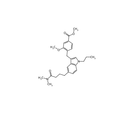 CCCn1cc(Cc2ccc(C(=O)OC)cc2OC)c2cc(CCCC(=O)N(C)C)ccc21